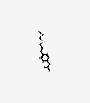 COCOCCCc1ccc(CC(C)C)cc1